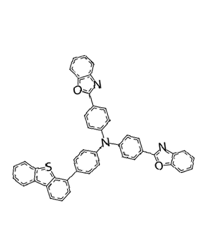 c1ccc2oc(-c3ccc(N(c4ccc(-c5nc6ccccc6o5)cc4)c4ccc(-c5cccc6c5sc5ccccc56)cc4)cc3)nc2c1